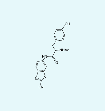 CC(=O)NC(Cc1ccc(O)cc1)C(=O)Nc1ccc2nc(C#N)sc2c1